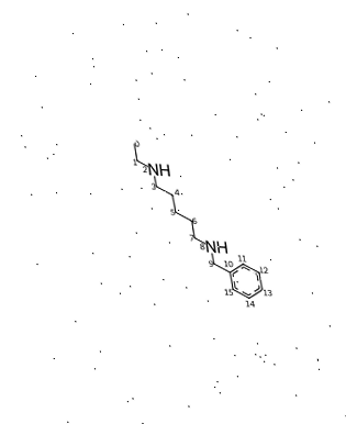 CCNCCCCCNCc1ccccc1